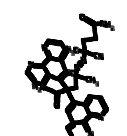 CC(C#N)(CCC(N)=O)N=NC(C)(C#N)CC(C(N)=O)(c1cc2cccnc2c2ncccc12)c1cc2cccnc2c2ncccc12